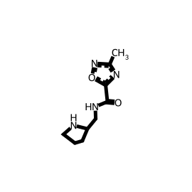 Cc1noc(C(=O)NCC2CCCN2)n1